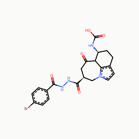 O=C(O)N[C@H]1CCc2ccn3c2C1C(=O)C[C@H](C(=O)NNC(=O)c1ccc(Br)cc1)C3